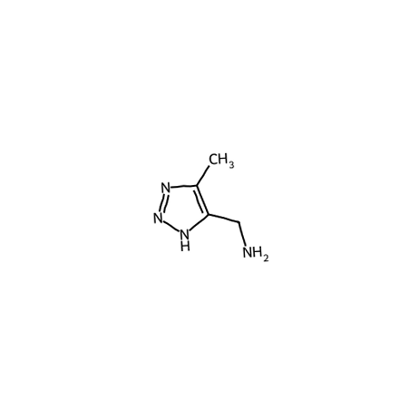 Cc1nn[nH]c1CN